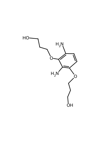 Nc1ccc(OCCCO)c(N)c1OCCCO